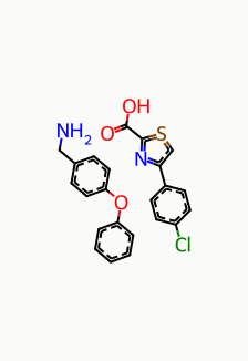 NCc1ccc(Oc2ccccc2)cc1.O=C(O)c1nc(-c2ccc(Cl)cc2)cs1